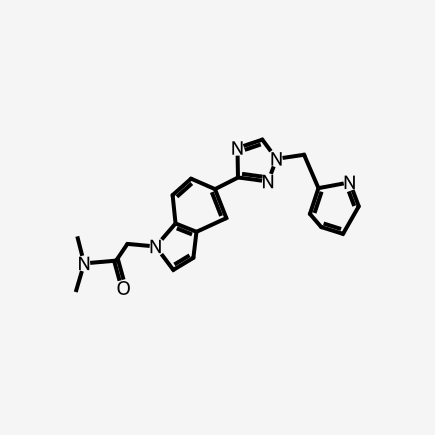 CN(C)C(=O)Cn1ccc2cc(-c3ncn(Cc4ccccn4)n3)ccc21